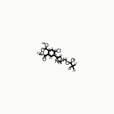 COC(=O)c1cc(Cl)c(-c2cn(COC(=O)C(C)(C)C)nn2)cc1C(=O)OC